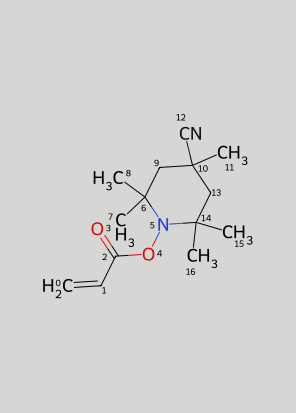 C=CC(=O)ON1C(C)(C)CC(C)(C#N)CC1(C)C